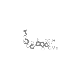 COC(=O)CC1(CC(=O)O)Cc2c(F)cc(N3CC[C@@H](Oc4ccc(OCC5CC5)nc4)C3=O)cc2C1=O